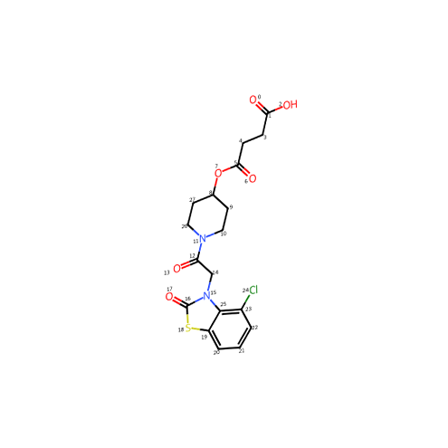 O=C(O)CCC(=O)OC1CCN(C(=O)Cn2c(=O)sc3cccc(Cl)c32)CC1